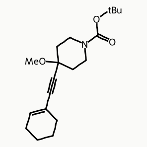 COC1(C#CC2=CCCCC2)CCN(C(=O)OC(C)(C)C)CC1